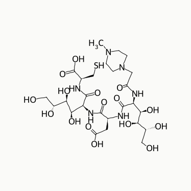 CN1CCN(CC(=O)N[C@H](C(=O)N[C@@H](CC(=O)O)C(=O)N[C@H](C(=O)N[C@H](CS)C(=O)O)[C@@H](O)[C@H](O)[C@H](O)CO)[C@@H](O)[C@H](O)[C@H](O)CO)CC1